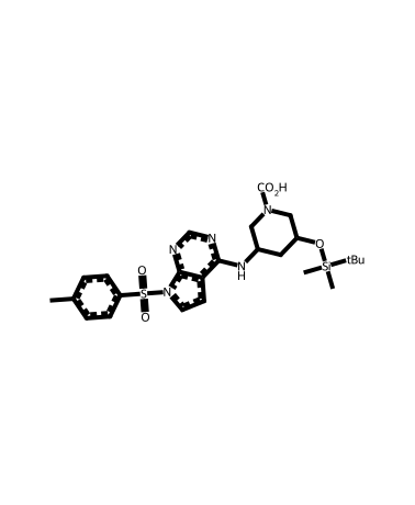 Cc1ccc(S(=O)(=O)n2ccc3c(NC4CC(O[Si](C)(C)C(C)(C)C)CN(C(=O)O)C4)ncnc32)cc1